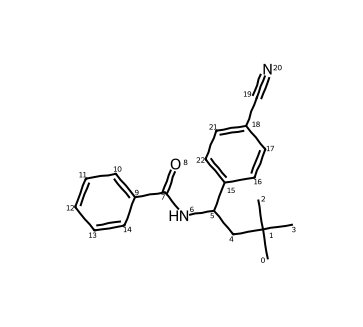 CC(C)(C)CC(NC(=O)c1ccccc1)c1ccc(C#N)cc1